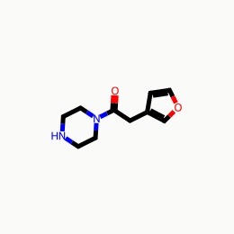 O=C(Cc1ccoc1)N1CCNCC1